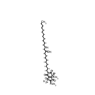 CCCCCCCCCCCCNCC(O)CCCCCCCCCN1C(=O)C2=C([N+]([O-])=C([AsH2])[N+]2(C)[O-])[N+](C)([O-])C1=O